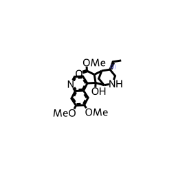 C/C=C1\CNC2CC1C(C(=O)OC)C2(O)c1ccnc2cc(OC)c(OC)cc12